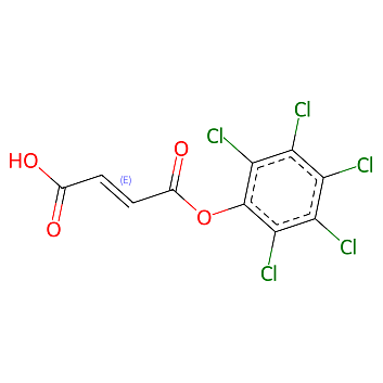 O=C(O)/C=C/C(=O)Oc1c(Cl)c(Cl)c(Cl)c(Cl)c1Cl